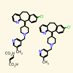 Cc1cncc(CN2CCC(=C3c4ccc(Cl)cc4CCc4cccnc43)CC2)c1.Cc1cncc(CN2CCC(=C3c4ccc(Cl)cc4CCc4cccnc43)CC2)c1.O=C(O)/C=C/C(=O)O